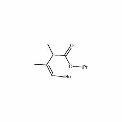 CCCCC=C(C)C(C)C(=O)OC(C)C